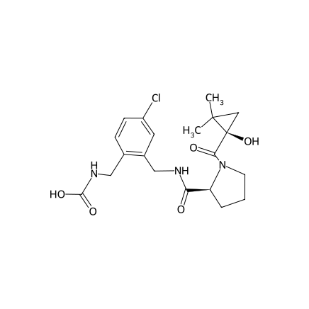 CC1(C)C[C@]1(O)C(=O)N1CCC[C@H]1C(=O)NCc1cc(Cl)ccc1CNC(=O)O